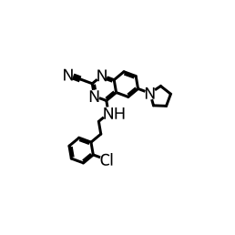 N#Cc1nc(NCCc2ccccc2Cl)c2cc(N3CCCC3)ccc2n1